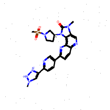 CN1C=C(c2ccc(-c3ccc4ncc5c(c4n3)n([C@H]3CCN(S(C)(=O)=O)C3)c(=O)n5C)cn2)NN1